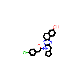 O=C(Cc1ccc(Cl)cc1)Nc1nc2c(nc1CC1CCCC1)-c1ccc(O)cc1CC2